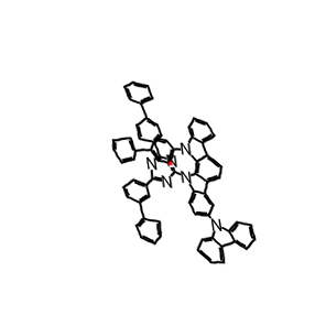 c1ccc(-c2ccc(-c3nc(-c4cccc(-c5ccccc5)c4)nc(-n4c5ccc(-n6c7ccccc7c7ccccc76)cc5c5ccc6c7ccccc7n(-c7ccc(-c8ccccc8)cc7)c6c54)n3)cc2)cc1